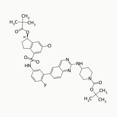 CC(C)(C)OC(=O)N1CCC(Nc2ncc3cc(-c4cc(NS(=O)(=O)c5cc(Cl)cc6c5CC[C@H]6OC(=O)C(C)(C)C)ccc4F)ccc3n2)CC1